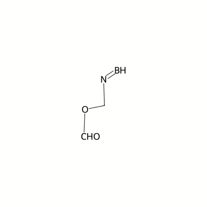 B=NCOC=O